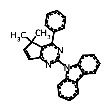 CC1(C)C=Cc2nc(-n3c4ccccc4c4ccccc43)nc(-c3ccccc3)c21